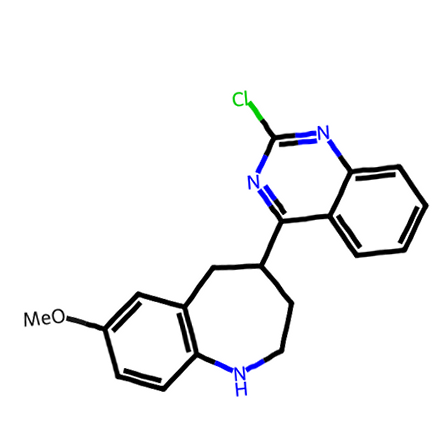 COc1ccc2c(c1)CC(c1nc(Cl)nc3ccccc13)CCN2